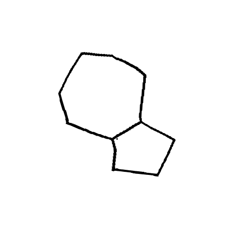 C1CC[C]2CCCC2CC1